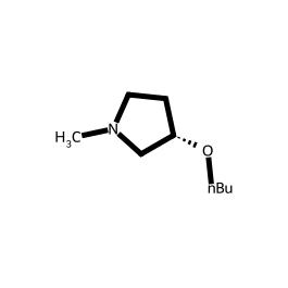 CCCCO[C@H]1CCN(C)C1